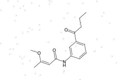 CCCC(=O)c1cccc(NC(=O)/C=C(/C)OC)c1